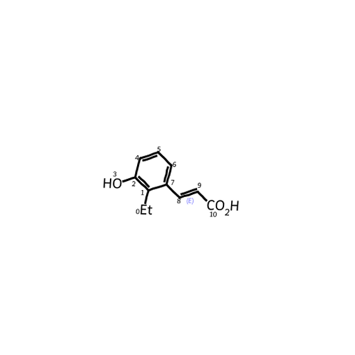 CCc1c(O)cccc1/C=C/C(=O)O